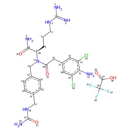 N=C(N)NCCC[C@H](C(N)=O)N(Cc1ccc(CNC(N)=O)cc1)C(=O)Cc1cc(Cl)c(N)c(Cl)c1.O=C(O)C(F)(F)F